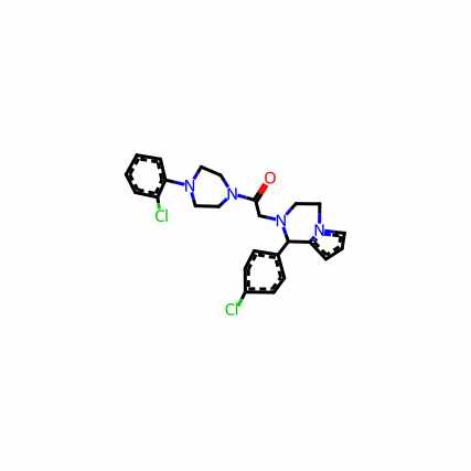 O=C(CN1CCn2cccc2C1c1ccc(Cl)cc1)N1CCN(c2ccccc2Cl)CC1